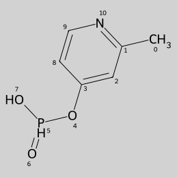 Cc1cc(O[PH](=O)O)ccn1